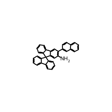 Nc1cc2c(cc1-c1ccc3ccccc3c1)-c1ccccc1C21c2ccccc2-c2ccccc21